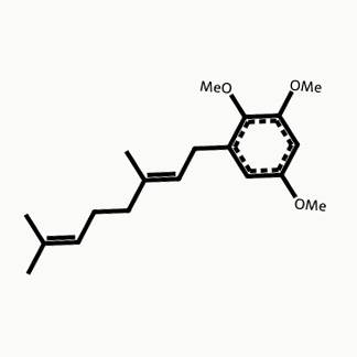 COc1cc(C/C=C(\C)CCC=C(C)C)c(OC)c(OC)c1